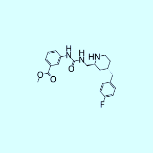 COC(=O)c1cccc(NC(=O)NC[C@@H]2C[C@@H](Cc3ccc(F)cc3)CCN2)c1